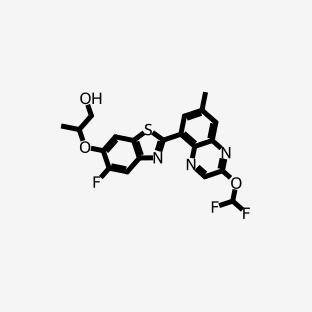 Cc1cc(-c2nc3cc(F)c(OC(C)CO)cc3s2)c2ncc(OC(F)F)nc2c1